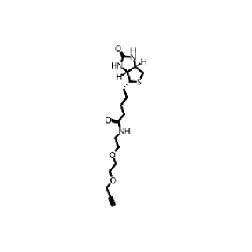 C#CCOCCOCCNC(=O)CCCC[C@H]1SC[C@H]2NC(=O)N[C@H]21